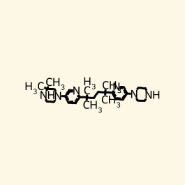 CC1(C)CN(c2ccc(C(C)(C)CCC(C)(C)c3ccc(N4CCNCC4)cn3)nc2)CCN1